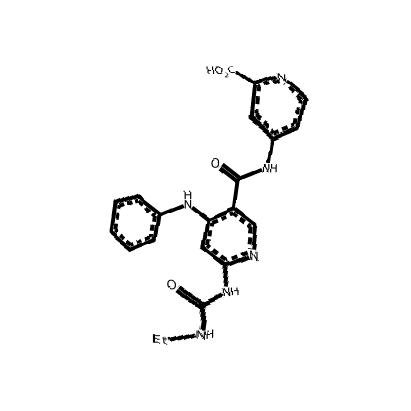 CCNC(=O)Nc1cc(Nc2ccccc2)c(C(=O)Nc2ccnc(C(=O)O)c2)cn1